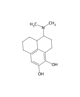 CN(C)C1CCc2c(O)c(O)cc3c2C1CCC3